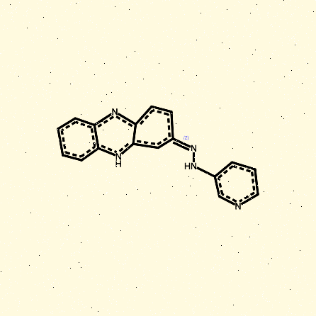 c1cncc(N/N=c2/ccc3nc4ccccc4[nH]c-3c2)c1